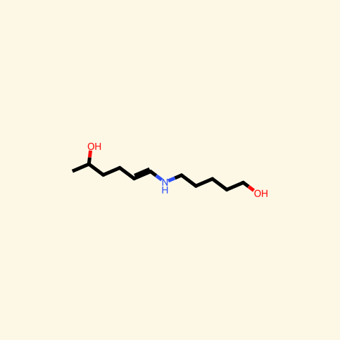 CC(O)CCC=CNCCCCCO